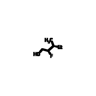 CC[C@H](C)[C@@H](F)CO